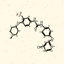 CN1CCC(Oc2ccc(NC(=O)Nc3ccc(Oc4cc(Cl)ncn4)cc3)cc2C(F)(F)F)CC1